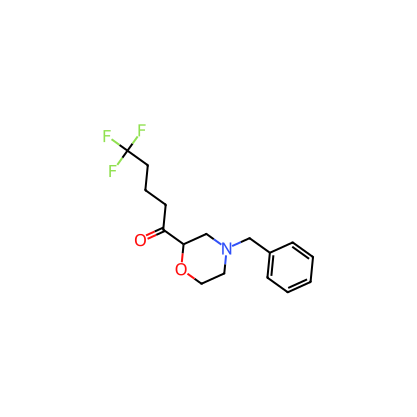 O=C(CCCC(F)(F)F)C1CN(Cc2ccccc2)CCO1